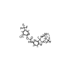 CC1(c2nc(NC(=O)Oc3ncc(C(F)(F)F)cc3Cl)ccc2F)COC(C)(C(F)(F)F)C(N)=N1